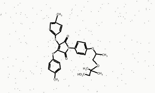 Cc1ccc(SC2=C(Sc3ccc(C)cc3)C(=O)N(c3ccc(OC(C)COC(C)(C)CC(=O)O)cc3)C2=O)cc1